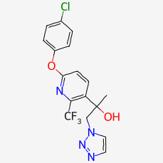 CC(O)(Cn1ccnn1)c1ccc(Oc2ccc(Cl)cc2)nc1C(F)(F)F